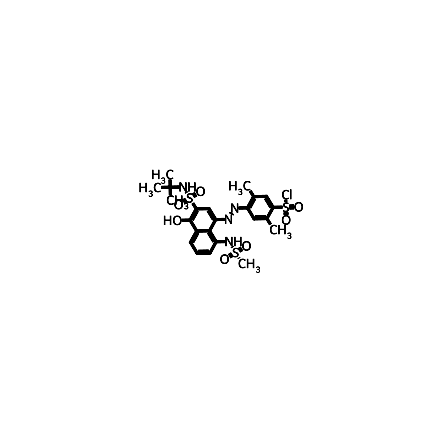 Cc1cc(S(=O)(=O)Cl)c(C)cc1/N=N/c1cc(S(=O)(=O)NC(C)(C)C)c(O)c2cccc(NS(C)(=O)=O)c12